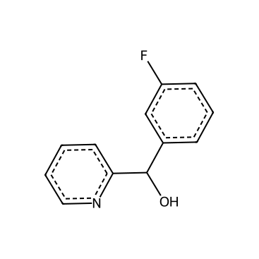 OC(c1cccc(F)c1)c1ccccn1